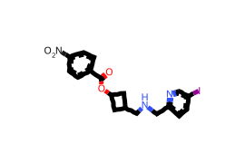 O=C(OC1CC(CNCc2ccc(I)cn2)C1)c1ccc([N+](=O)[O-])cc1